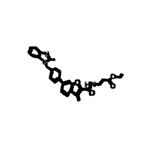 CCOC(=O)CCNC(=O)c1oc2cc(-c3ccc(Cn4c(C)nc5ccccc54)cc3)ccc2c1C